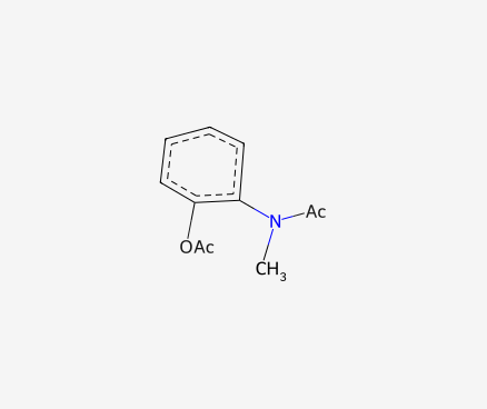 CC(=O)Oc1ccccc1N(C)C(C)=O